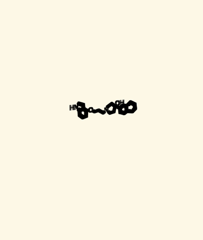 OC1(c2ccc3ccccc3c2)CCN(CCCOc2cccc3[nH]ccc23)CC1